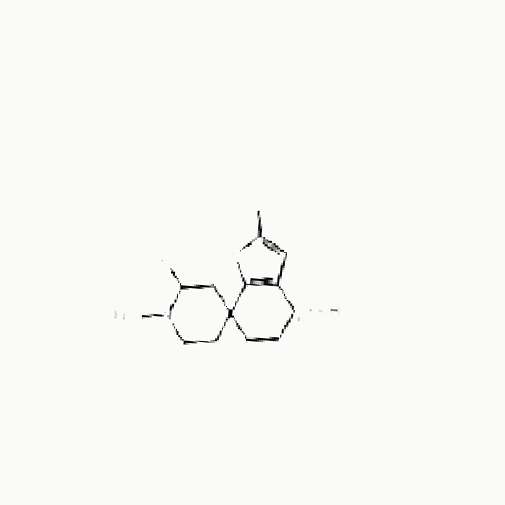 CC1CC2(CC[C@@H](O)c3cc(Cl)sc32)CCN1C(=O)O